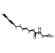 C#CC#CCCC=CC=CC(=O)NCC(C)CC